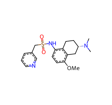 COc1ccc(NS(=O)(=O)Cc2cccnc2)c2c1C[C@@H](N(C)C)CC2